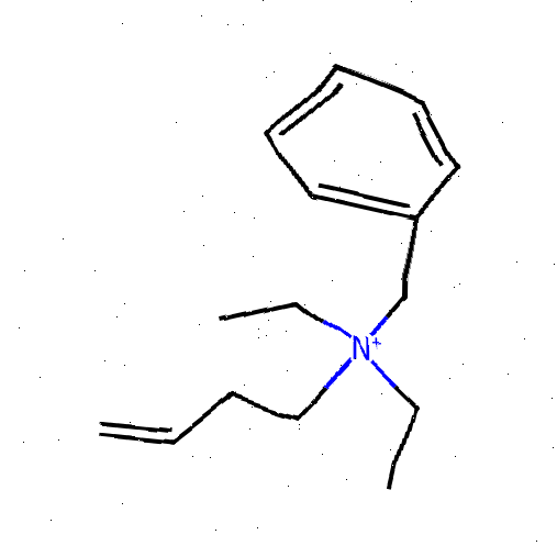 C=CCC[N+](CC)(CC)Cc1ccccc1